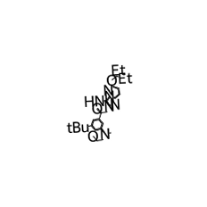 CCC(CC)Oc1ccc2nn(CC(=O)c3cc4c(c(C(C)(C)C)c3)OCCN4C)c(=N)n2n1